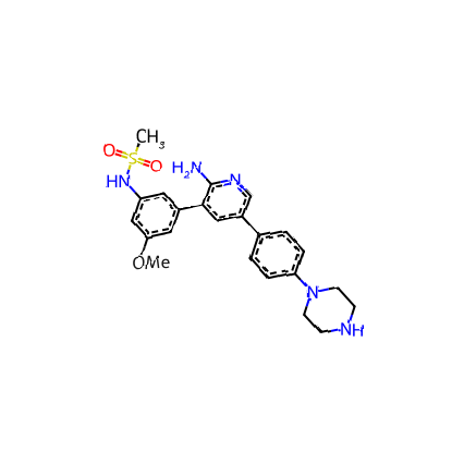 COc1cc(NS(C)(=O)=O)cc(-c2cc(-c3ccc(N4CCNCC4)cc3)cnc2N)c1